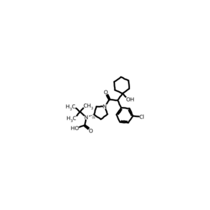 CC(C)(C)N(C(=O)O)[C@H]1CCN(C(=O)C(c2cccc(Cl)c2)C2(O)CCCCC2)C1